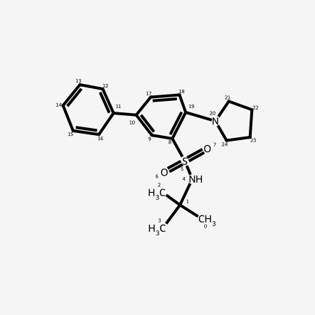 CC(C)(C)NS(=O)(=O)c1cc(-c2ccccc2)ccc1N1CCCC1